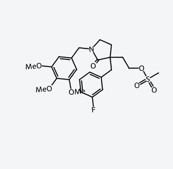 COc1cc(CN2CCC(CCOS(C)(=O)=O)(Cc3cccc(F)c3)C2=O)cc(OC)c1OC